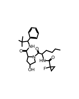 CCCCC(NC(=O)C1(F)CC1)C(=O)N1CC(O)CC1C(=O)NC(c1ccccc1)C(C)(C)C